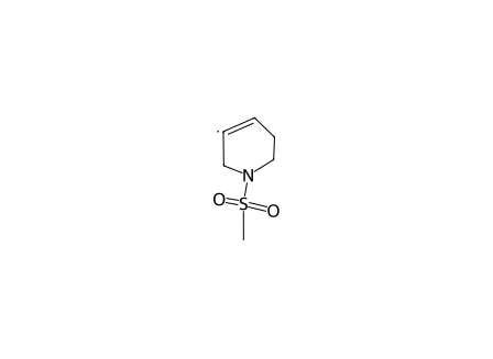 CS(=O)(=O)N1C[C]=CCC1